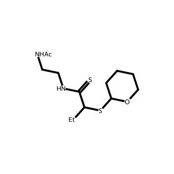 CCC(SC1CCCCO1)C(=S)NCCNC(C)=O